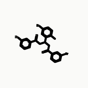 Cc1ccc(Br)cc1C(CC(=O)c1cccc(Br)c1)CC(=O)c1cccc(Br)c1